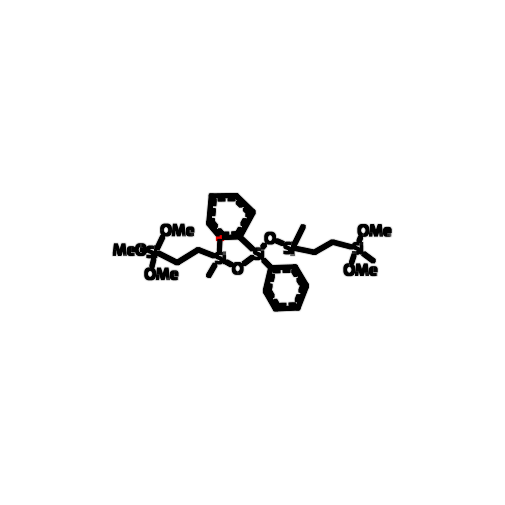 CO[Si](C)(CC[Si](C)(C)O[Si](O[Si](C)(C)CC[Si](OC)(OC)OC)(c1ccccc1)c1ccccc1)OC